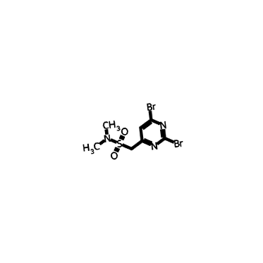 CN(C)S(=O)(=O)Cc1cc(Br)nc(Br)n1